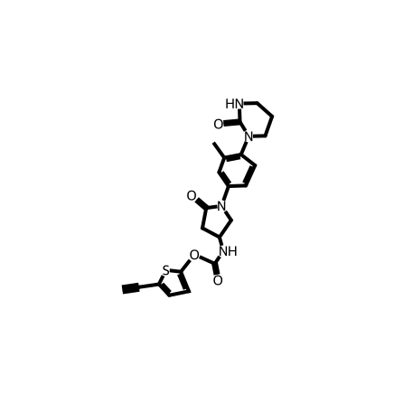 C#Cc1ccc(OC(=O)NC2CC(=O)N(c3ccc(N4CCCNC4=O)c(C)c3)C2)s1